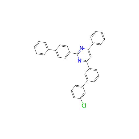 Clc1cccc(-c2cccc(-c3cc(-c4ccccc4)nc(-c4ccc(-c5ccccc5)cc4)n3)c2)c1